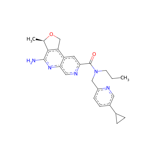 CCCN(Cc1ccc(C2CC2)cn1)C(=O)c1cc2c3c(c(N)nc2cn1)[C@@H](C)OC3